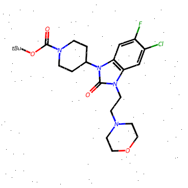 CC(C)(C)OC(=O)N1CCC(n2c(=O)n(CCN3CCOCC3)c3cc(Cl)c(F)cc32)CC1